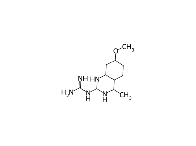 COC1CCC2C(C)NC(NC(=N)N)NC2C1